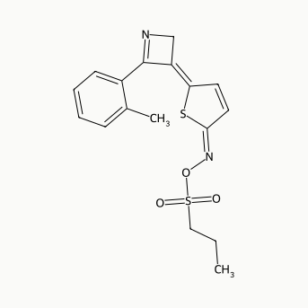 CCCS(=O)(=O)ON=C1C=CC(=C2CN=C2c2ccccc2C)S1